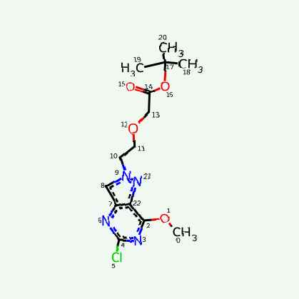 COc1nc(Cl)nc2cn(CCOCC(=O)OC(C)(C)C)nc12